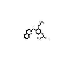 CCCc1cc(OC(C)C)ccc1Nc1ccc2ccccc2n1